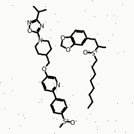 CC(C)c1noc(N2CCC(COc3ccc(-c4ccc([S+](C)[O-])cc4)nc3)CC2)n1.CCCCCCCC[S+]([O-])C(C)Cc1ccc2c(c1)OCO2